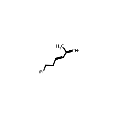 [CH]=C(C)C=CCCC([CH2])C